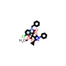 CCOC(=O)[C@@]1(C(F)(F)F)c2c(C3CC3)nn(-c3ccccc3)c2O[C@@]12C(=O)N(Cc1ccccc1)c1ccc(Cl)cc12